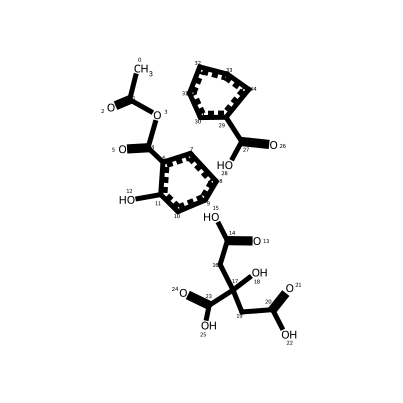 CC(=O)OC(=O)c1ccccc1O.O=C(O)CC(O)(CC(=O)O)C(=O)O.O=C(O)c1ccccc1